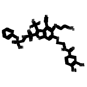 N#Cc1c(OCCN)c(OCCNC(=O)c2ccc(O)c(O)c2)cc2sc(S(=O)(=O)NCP(=O)(O)Oc3ccccc3)c(C(F)(F)F)c12